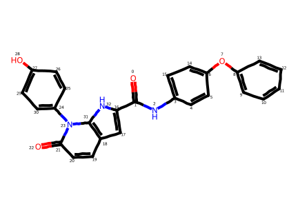 O=C(Nc1ccc(Oc2ccccc2)cc1)c1cc2ccc(=O)n(-c3ccc(O)cc3)c2[nH]1